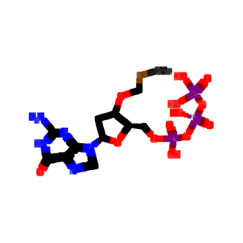 CSSCOC1C[C@H](n2cnc3c(=O)[nH]c(N)nc32)O[C@@H]1COP(=O)(O)O[P@@](=O)(O)OP(=O)(O)O